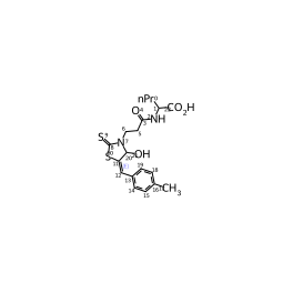 CCCC(NC(=O)CCN1C(=S)S/C(=C/c2ccc(C)cc2)C1O)C(=O)O